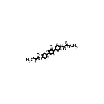 CCC(F)C(=O)OC1CCC(c2ccc(C3CCC(OC(=O)C(F)CC)CC3)c(F)c2)CC1